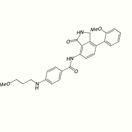 COCCCNc1ccc(C(=O)Nc2ccc(-c3ccccc3OC)c3c2C(=O)NC3)cc1